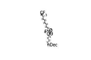 CCCCCCCCCCCCCCOS(=O)(=O)C(F)CCCCCCCCC(F)(F)F